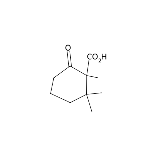 CC1(C)CCCC(=O)C1(C)C(=O)O